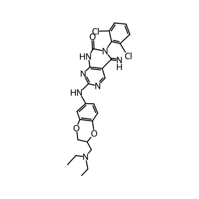 CCN(CC)CC1COc2cc(Nc3ncc4c(=N)n(-c5c(Cl)cccc5Cl)c(=O)[nH]c4n3)ccc2O1